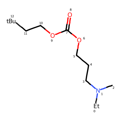 CCN(C)CCCOC(=O)OCCC(C)(C)C